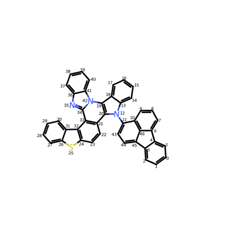 c1ccc2c(c1)-c1cccc3c(-n4c5ccccc5c5c4c4ccc6sc7ccccc7c6c4c4nc6ccccc6n45)ccc-2c13